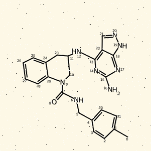 Cc1ccc(CNC(=O)N2CC(Nc3nc(N)nc4[nH]ncc34)Cc3ccccc32)cc1